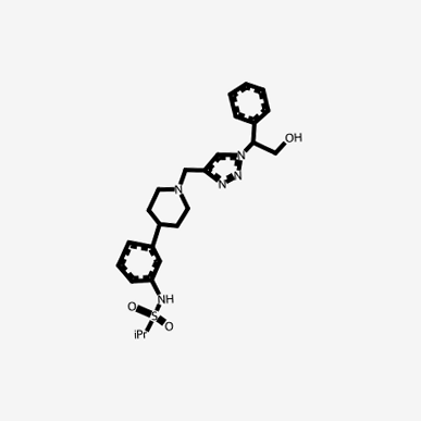 CC(C)S(=O)(=O)Nc1cccc(C2CCN(Cc3cn(C(CO)c4ccccc4)nn3)CC2)c1